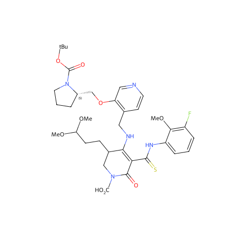 COc1c(F)cccc1NC(=S)C1=C(NCc2ccncc2OC[C@@H]2CCCN2C(=O)OC(C)(C)C)C(CCC(OC)OC)CN(C(=O)O)C1=O